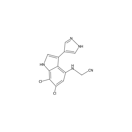 N#CCNc1cc(Cl)c(Cl)c2[nH]cc(-c3cn[nH]c3)c12